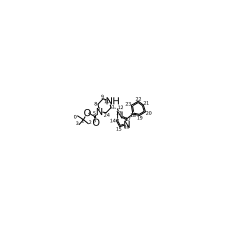 CC(C)(C)OC(=O)N1CCN[C@H](Cn2ccnc2-c2ccccc2)C1